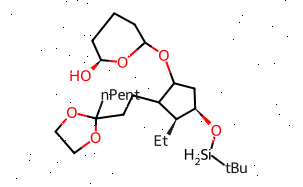 CCCCCC1(CCC2C(OC3CCC[C@H](O)O3)C[C@@H](O[SiH2]C(C)(C)C)[C@H]2CC)OCCO1